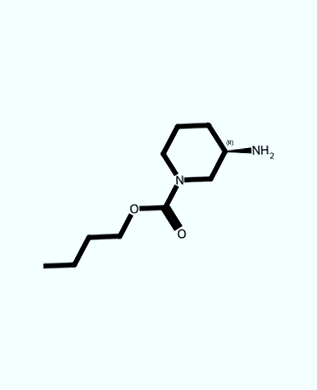 CCCCOC(=O)N1CCC[C@@H](N)C1